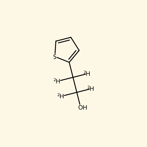 [2H]C([2H])(O)C([2H])([2H])c1cccs1